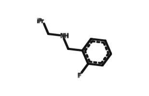 CC(C)CNCc1ccccc1F